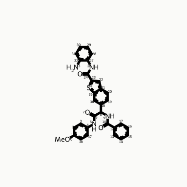 COc1ccc(NC(=O)C(NC(=O)c2ccccc2)c2ccc3cc(C(=O)Nc4ccccc4N)sc3c2)cc1